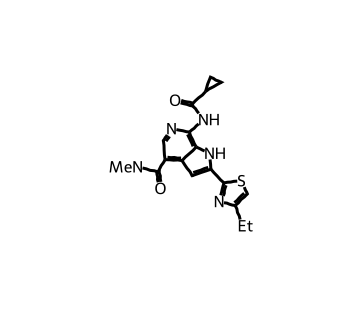 CCc1csc(-c2cc3c(C(=O)NC)cnc(NC(=O)C4CC4)c3[nH]2)n1